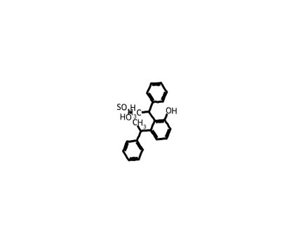 CC(c1ccccc1)c1cccc(O)c1C(C)c1ccccc1.O=S(=O)(O)O